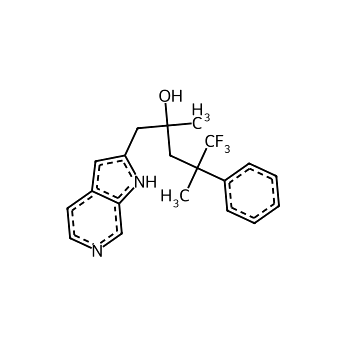 CC(O)(Cc1cc2ccncc2[nH]1)CC(C)(c1ccccc1)C(F)(F)F